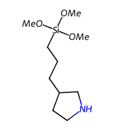 CO[Si](CCCC1CCNC1)(OC)OC